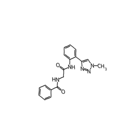 Cn1cc(-c2ccccc2NC(=O)CNC(=O)c2ccccc2)nn1